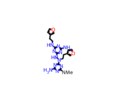 CNc1nc(N)nc(N(CCc2ccoc2)Nc2nc(N)nc(NCCc3ccoc3)n2)n1